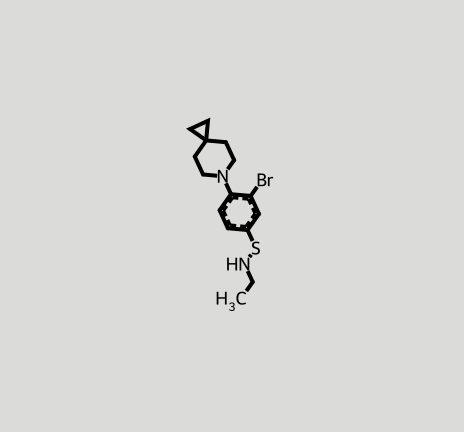 CCNSc1ccc(N2CCC3(CC2)CC3)c(Br)c1